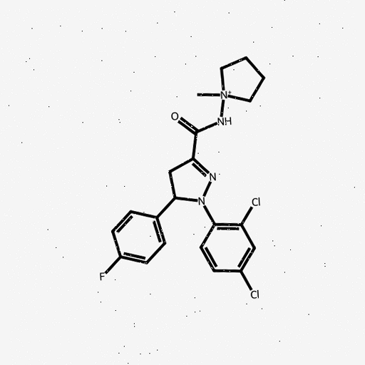 C[N+]1(NC(=O)C2=NN(c3ccc(Cl)cc3Cl)C(c3ccc(F)cc3)C2)CCCC1